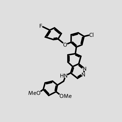 COc1ccc(CNc2cnnc3cc(-c4cc(Cl)ccc4Oc4ccc(F)cc4)ccc23)c(OC)c1